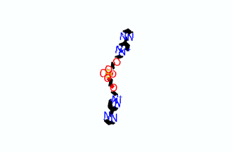 O=S(=O)(OCCOCC[n+]1ccc(-c2ncccn2)cn1)OCCOCC[n+]1ccc(-c2ncccn2)cn1